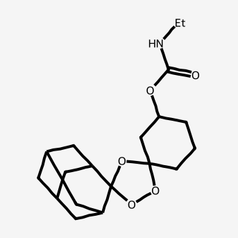 CCNC(=O)OC1CCCC2(C1)OOC1(O2)C2CC3CC(C2)CC1C3